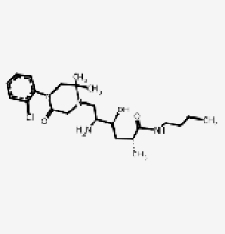 CCCCNC(=O)[C@H](C)C[C@H](O)[C@@H](N)CN1CC(=O)N(c2ccccc2Cl)CC1(C)C